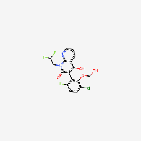 O=c1c(-c2c(F)ccc(Cl)c2OCO)c(O)c2cccnc2n1CC(F)F